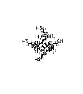 C[Si](C)(CC[Si](CC[Si](C)(C)OCCS)(CC[Si](C)(C)OCCS)CC[Si](C)(C)OCCS)OCCS